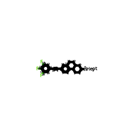 CCCCCCCC1CCC2c3ccc(C#Cc4cc(F)c(F)c(F)c4)cc3CCC2C1